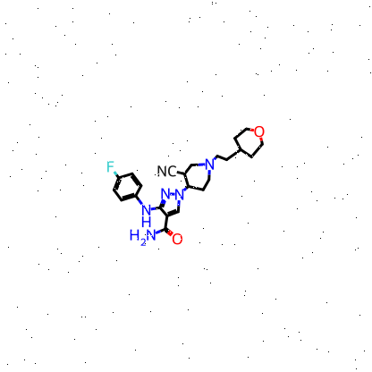 N#CC1CN(CCC2CCOCC2)CCC1n1cc(C(N)=O)c(Nc2ccc(F)cc2)n1